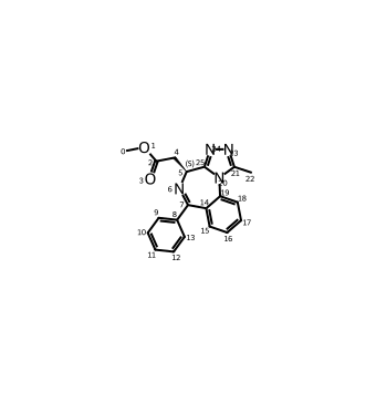 COC(=O)C[C@@H]1N=C(c2ccccc2)c2ccccc2-n2c(C)nnc21